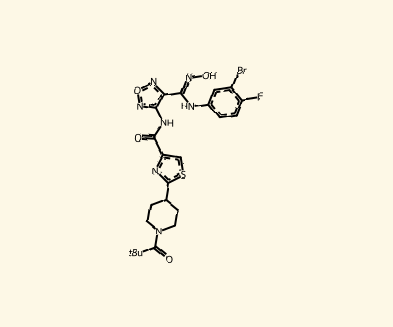 CC(C)(C)C(=O)N1CCC(c2nc(C(=O)Nc3nonc3C(=NO)Nc3ccc(F)c(Br)c3)cs2)CC1